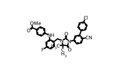 COC(=O)c1ccc(Nc2cc(F)ccc2CN2C(=O)N(c3ccc(C#N)c(-c4ccc(Cl)cc4)c3)C(=O)C2(C)C)cc1